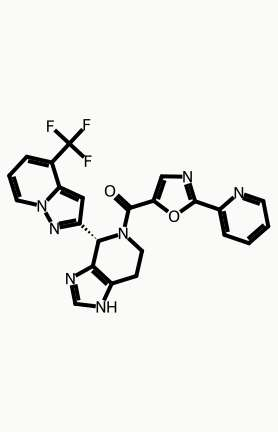 O=C(c1cnc(-c2ccccn2)o1)N1CCc2[nH]cnc2[C@@H]1c1cc2c(C(F)(F)F)cccn2n1